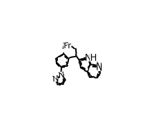 CC(C)CC(c1cccc(-n2cccn2)c1)c1cc2cccnc2[nH]1